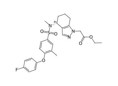 CCOC(=O)Cn1ncc2c1CCC[C@H]2N(C)S(=O)(=O)c1ccc(Oc2ccc(F)cc2)c(C)c1